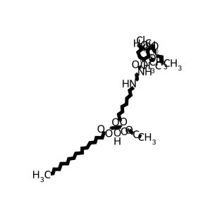 CCCCCCCCCCCCCCCCC(=O)OCC(O)(COOCCC)OC(=O)CCCCCCCCNCCNC(=O)O[C@@H]1CC[C@](O)(CCl)[C@@H]([C@@]2(C)O[C@@H]2CC=C(C)C)[C@@H]1OC